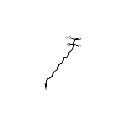 N#CCCCCCCCCCCC(Cl)(Cl)C(=O)O